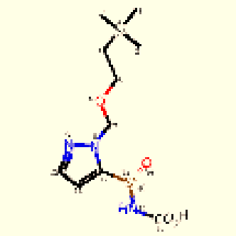 C[Si](C)(C)CCOCn1nccc1[S@+]([O-])NC(=O)O